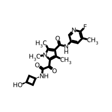 Cc1cc(NC(=O)c2c(C)c(C(=O)C(=O)N[C@H]3C[C@H](O)C3)n(C)c2C)cnc1F